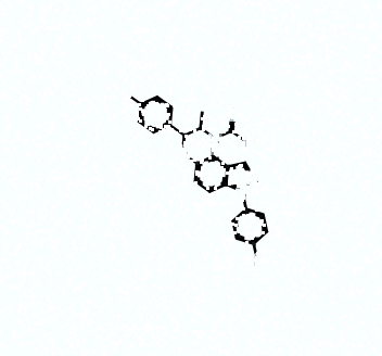 CCc1ccc(C(Oc2ccc3c(cnn3-c3ccc(F)cc3)c2)C(C)NC(=O)C(C)C)cc1